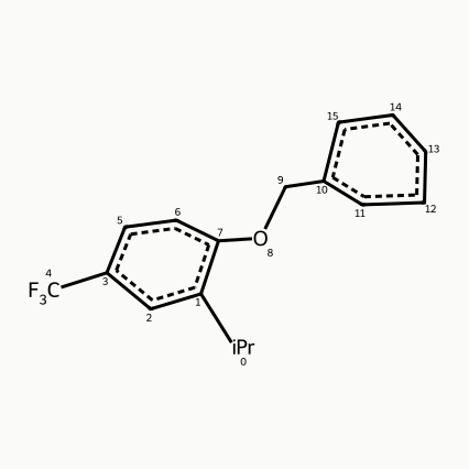 CC(C)c1cc(C(F)(F)F)ccc1OCc1ccccc1